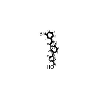 OCc1nc(-c2ccc3nc(-c4cccc(Br)c4)cn3c2)cs1